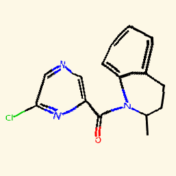 CC1CCc2ccccc2N1C(=O)c1cncc(Cl)n1